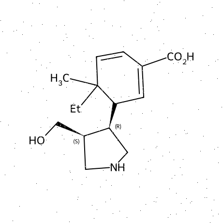 CCC1(C)C=CC(C(=O)O)=CC1[C@H]1CNC[C@H]1CO